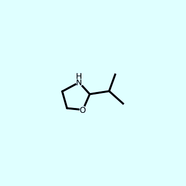 CC(C)C1NCCO1